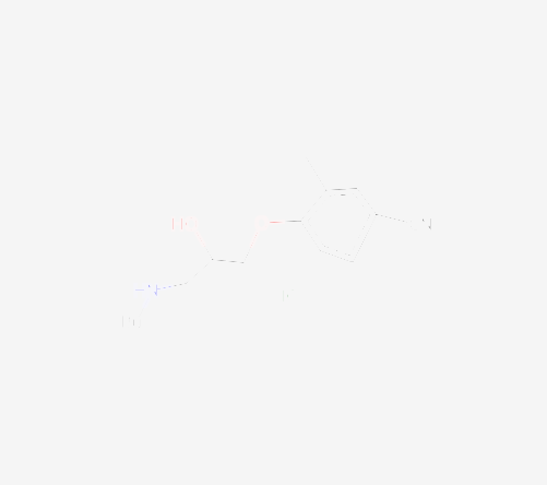 Cc1cc(C#N)ccc1OCC(O)CNC(C)(C)C.Cl